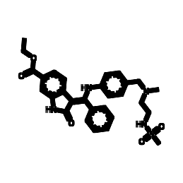 CCOC(=O)c1ccc2c(c1)NC(=O)C2=C(Nc1ccc(CN(C)CCNS(C)(=O)=O)cc1)c1ccccc1